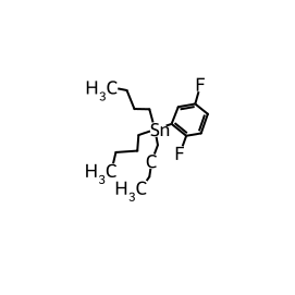 CCC[CH2][Sn]([CH2]CCC)([CH2]CCC)[c]1cc(F)ccc1F